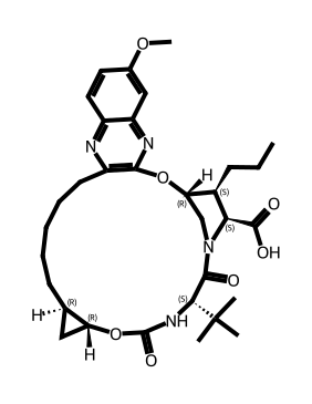 CCC[C@@H]1[C@@H]2CN(C(=O)[C@H](C(C)(C)C)NC(=O)O[C@@H]3C[C@H]3CCCCCc3nc4ccc(OC)cc4nc3O2)[C@@H]1C(=O)O